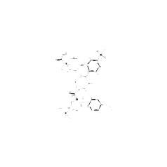 COc1ccc([C@@H]2CN(C(C)(C)C)C[C@@]2(F)C(=O)N2CCC(c3ccc(C(F)(F)F)cc3N3CCC(C)(C(=O)O)CC3)CC2)cc1